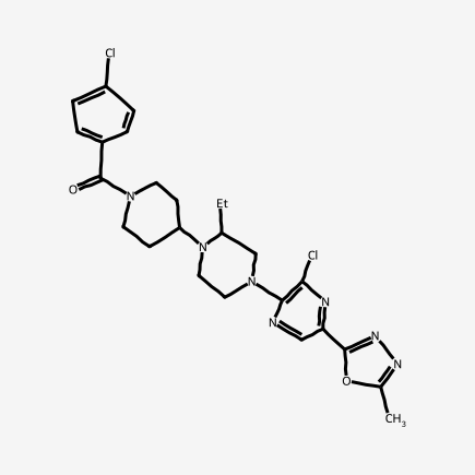 CCC1CN(c2ncc(-c3nnc(C)o3)nc2Cl)CCN1C1CCN(C(=O)c2ccc(Cl)cc2)CC1